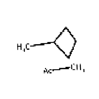 CC(C)=O.CC1CCC1